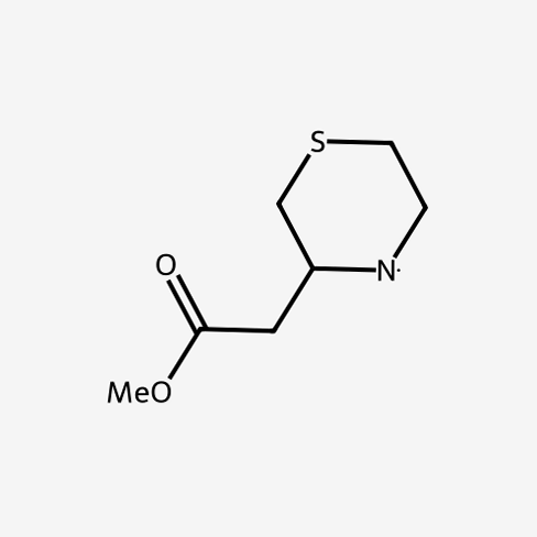 COC(=O)CC1CSCC[N]1